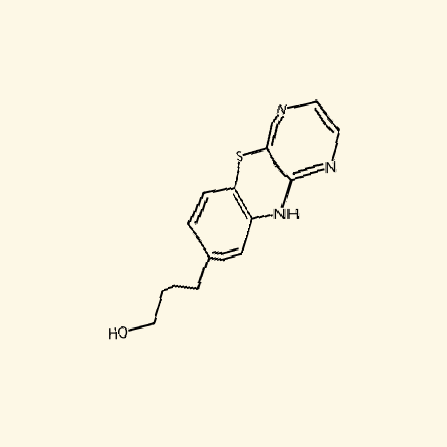 OCCCc1ccc2c(c1)Nc1nccnc1S2